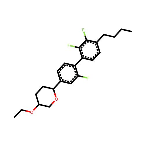 CCCCc1ccc(-c2ccc(C3CCC(OCC)CO3)cc2F)c(F)c1F